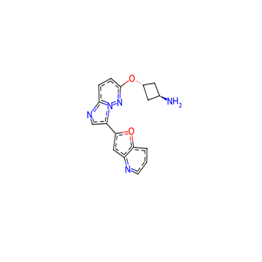 N[C@H]1C[C@H](Oc2ccc3ncc(-c4cc5ncccc5o4)n3n2)C1